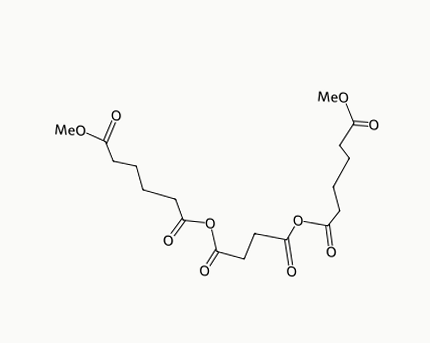 COC(=O)CCCCC(=O)OC(=O)CCC(=O)OC(=O)CCCCC(=O)OC